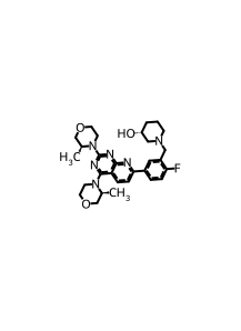 C[C@H]1COCCN1c1nc(N2CCOC[C@@H]2C)c2ccc(-c3ccc(F)c(CN4CCC[C@@H](O)C4)c3)nc2n1